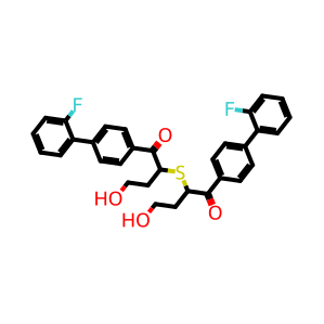 O=C(c1ccc(-c2ccccc2F)cc1)C(CCO)SC(CCO)C(=O)c1ccc(-c2ccccc2F)cc1